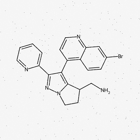 NCC1CCn2nc(-c3ccccn3)c(-c3ccnc4cc(Br)ccc34)c21